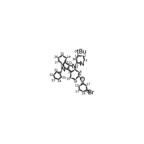 CC(C)(C)c1ccnc(-n2c3cc(Oc4cccc(Br)c4)ccc3c3c2c2ccccc2n3-c2ccccc2)c1